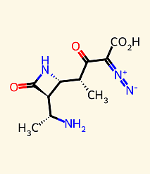 C[C@@H](N)[C@H]1C(=O)N[C@@H]1[C@@H](C)C(=O)C(=[N+]=[N-])C(=O)O